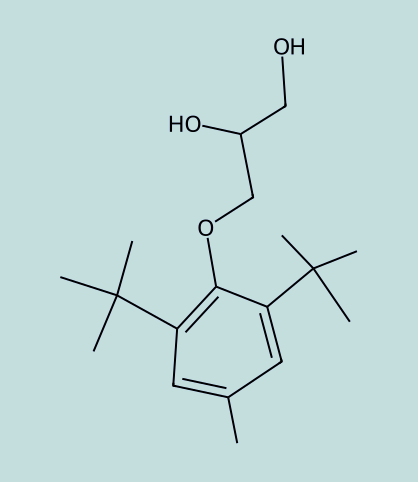 Cc1cc(C(C)(C)C)c(OCC(O)CO)c(C(C)(C)C)c1